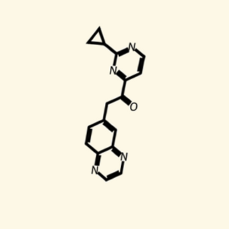 O=C(Cc1ccc2nccnc2c1)c1ccnc(C2CC2)n1